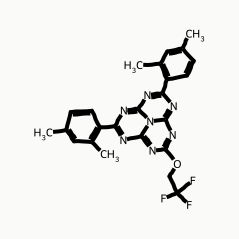 Cc1ccc(C2=NC3=NC(OCC(F)(F)F)=NC4=NC(c5ccc(C)cc5C)=NC(=N2)N34)c(C)c1